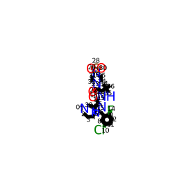 CN1CCCn2c(-c3cc(Cl)ccc3F)nc(C(=O)N[C@H](C(=O)N3CCN(S(C)(=O)=O)CC3)C(C)(C)C)c2C1